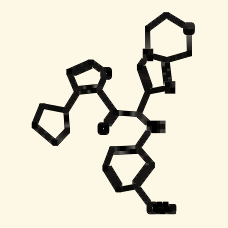 COc1cccc(NC(C(=O)c2occc2C2CCCC2)c2cn3c(n2)COCC3)c1